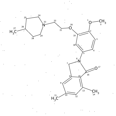 COc1ccc(N2Cc3cc(C)cc(C)c3C2=O)cc1OCCN1CCC(C)CC1